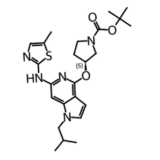 Cc1cnc(Nc2cc3c(ccn3CC(C)C)c(O[C@H]3CCN(C(=O)OC(C)(C)C)C3)n2)s1